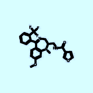 COc1ccc2c(c1)N(C)C(CNC(=O)c1ccoc1)CN=C2c1ccccc1C(F)(F)F